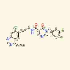 CNc1ncnc2cc(Cl)c(C#CCNC(=O)c3cncn(Cc4ccc(F)c(F)c4)c3=O)cc12